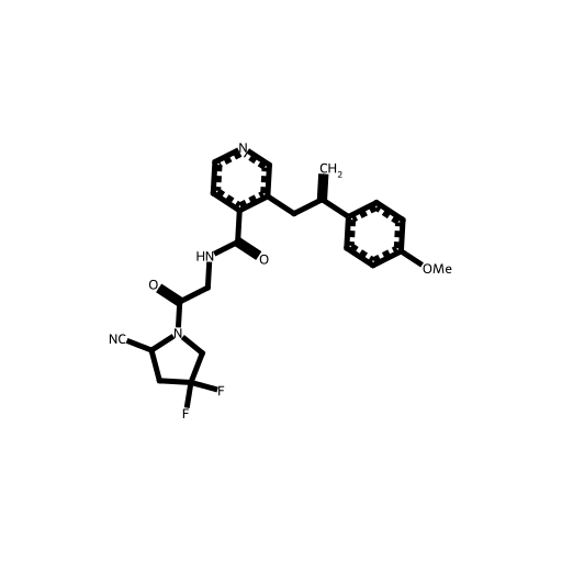 C=C(Cc1cnccc1C(=O)NCC(=O)N1CC(F)(F)CC1C#N)c1ccc(OC)cc1